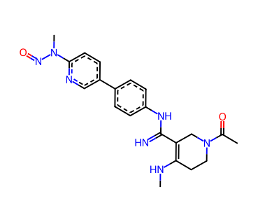 CNC1=C(C(=N)Nc2ccc(-c3ccc(N(C)N=O)nc3)cc2)CN(C(C)=O)CC1